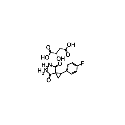 NC(=O)C1(C(N)=O)CC1c1ccc(F)cc1.O=C(O)C[C@H](O)C(=O)O